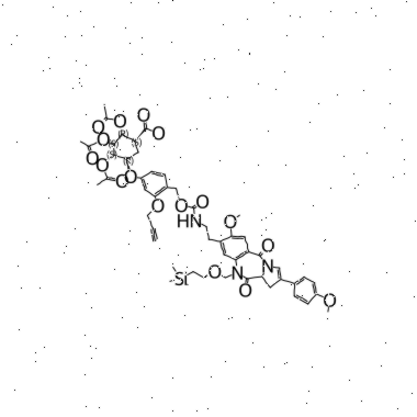 C#CCOc1cc(O[C@@H]2C[C@H](C(=O)OC)[C@@H](OC(C)=O)[C@H](OC(C)=O)[C@H]2OC(C)=O)ccc1COC(=O)NCCc1cc2c(cc1OC)C(=O)N1C=C(c3ccc(OC)cc3)CC1C(=O)N2COCC[Si](C)(C)C